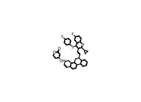 Fc1ccc(Sc2c(/C=C/C3Cc4c(ccc5c4CCC=C5)-c4ccccc43)c(C3CC3)nc3ccc(F)cc23)cc1.O=c1cc(O)cco1